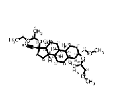 CCOC(C)OC1(C#N)CC[C@H]2[C@@H]3CC[C@@H]4C[C@](COC)(OC(C)COC)CC[C@@H]4[C@H]3CC[C@@]21C